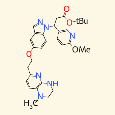 COc1ccc(C(CC(=O)OC(C)(C)C)n2ncc3cc(OCCc4ccc5c(n4)NCCN5C)ccc32)cn1